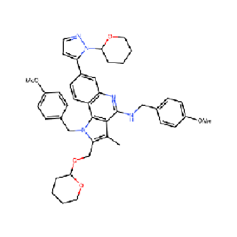 COc1ccc(CNc2nc3cc(-c4ccnn4C4CCCCO4)ccc3c3c2c(C)c(COC2CCCCO2)n3Cc2ccc(OC)cc2)cc1